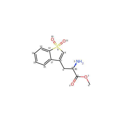 COC(=O)[C@H](N)CC1=CS(=O)(=O)c2ccccc21